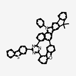 CC1(C)c2ccccc2-c2cc3c(cc21)c1cc(-c2ccc4oc5cccc(-c6nc(-c7ccccc7)nc(-c7ccc8c(c7)sc7ccccc78)n6)c5c4c2)ccc1n3-c1ccccc1